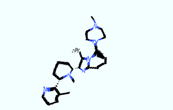 CCCc1c([C@H]2CCC[C@@H](c3ncccc3C)N2C)nc2cccc(N3CCN(C)CC3)n12